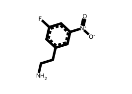 NCCc1cc(F)cc([N+](=O)[O-])c1